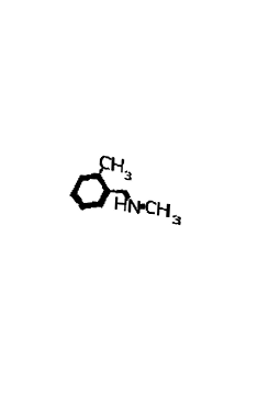 CNC[C@H]1CCCC[C@@H]1C